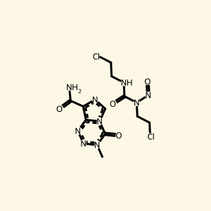 Cn1nnc2c(C(N)=O)ncn2c1=O.O=NN(CCCl)C(=O)NCCCl